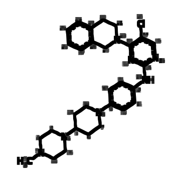 CN1CCN(C2CCN(c3ccc(Nc4ncc(Cl)c(N5CCc6ccccc6C5)n4)cc3)CC2)CC1